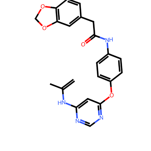 C=C(C)Nc1cc(Oc2ccc(NC(=O)Cc3ccc4c(c3)OCO4)cc2)ncn1